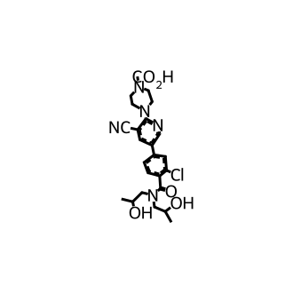 CC(O)CN(CC(C)O)C(=O)c1ccc(-c2cnc(N3CCN(C(=O)O)CC3)c(C#N)c2)cc1Cl